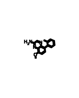 COc1ccc(-c2ccccc2C)c2ncc(N)nc12